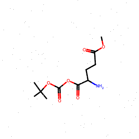 COC(=O)CCC(N)C(=O)OC(=O)OC(C)(C)C